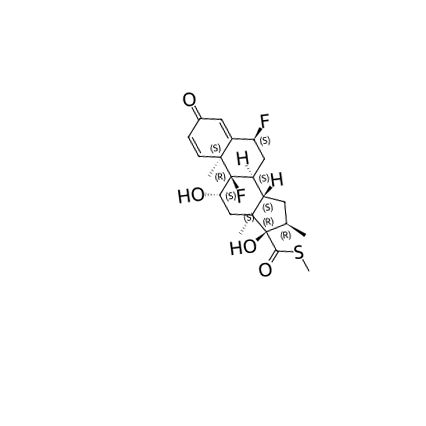 CSC(=O)[C@@]1(O)[C@H](C)C[C@H]2[C@@H]3C[C@H](F)C4=CC(=O)C=C[C@]4(C)[C@@]3(F)[C@@H](O)C[C@@]21C